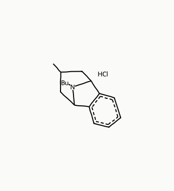 CCC(C)N1C2CC(C)CC1c1ccccc12.Cl